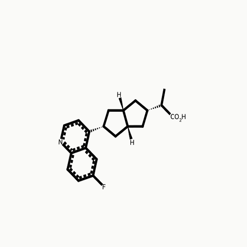 CC(C(=O)O)[C@H]1C[C@H]2C[C@@H](c3ccnc4ccc(F)cc34)C[C@H]2C1